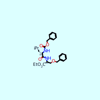 CCOC(=O)[C@H](COCc1ccccc1)NC(=O)[C@H](CC(C)C)NC(=O)OCc1ccccc1